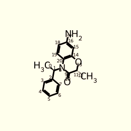 C[C@H](c1ccccc1)N1C(=O)[C@@H](C)Oc2cc(N)ccc21